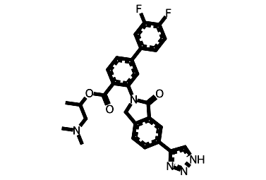 CC(CN(C)C)OC(=O)c1ccc(-c2ccc(F)c(F)c2)cc1N1Cc2ccc(-c3c[nH]nn3)cc2C1=O